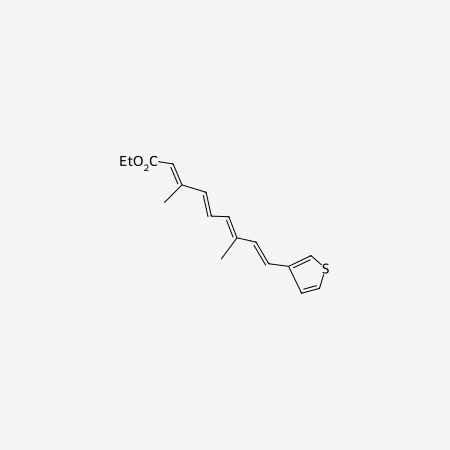 CCOC(=O)/C=C(C)/C=C/C=C(C)/C=C/c1ccsc1